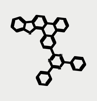 c1ccc(-c2nc(-c3ccccc3)nc(-c3ccc4c(c3)c3ccccc3c3ccc5c6ccccc6sc5c34)n2)cc1